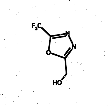 OCc1nnc(C(F)(F)F)o1